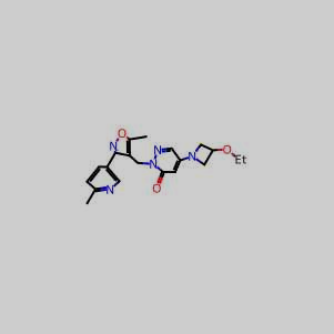 CCOC1CN(c2cnn(Cc3c(-c4ccc(C)nc4)noc3C)c(=O)c2)C1